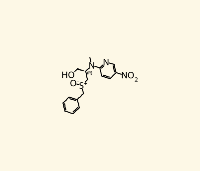 CN(c1ccc([N+](=O)[O-])cn1)[C@H](CO)C[S+]([O-])Cc1ccccc1